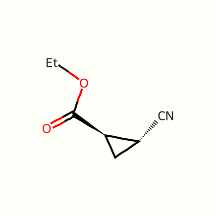 CCOC(=O)[C@@H]1C[C@H]1C#N